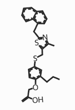 C=C(O)COc1ccc(SCc2sc(Cc3cccc4ccccc34)nc2C)cc1CCC